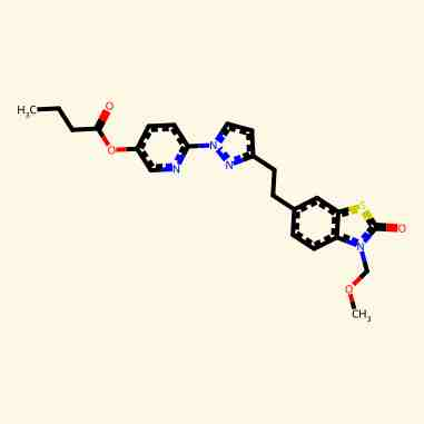 CCCC(=O)Oc1ccc(-n2ccc(CCc3ccc4c(c3)sc(=O)n4COC)n2)nc1